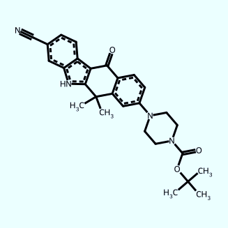 CC(C)(C)OC(=O)N1CCN(c2ccc3c(c2)C(C)(C)c2[nH]c4cc(C#N)ccc4c2C3=O)CC1